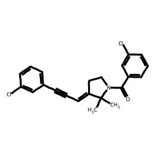 CC1(C)/C(=C/C#Cc2cccc(Cl)c2)CCN1C(=O)c1cccc(Cl)c1